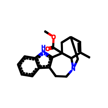 COC(=O)C12CC3C=C(C)C1N(CCc1c2[nH]c2ccccc12)C3